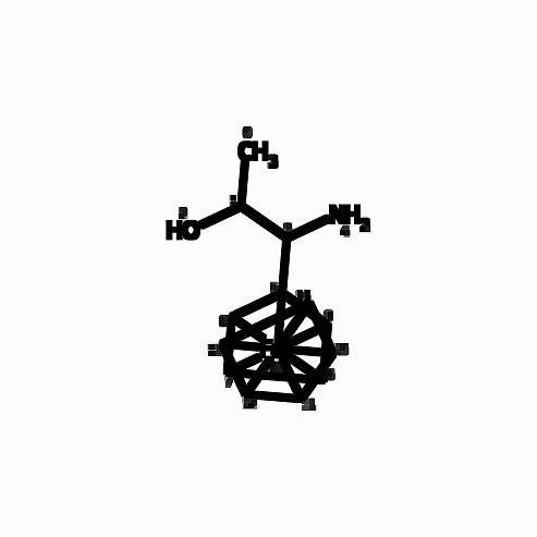 CC(O)C(N)[C]12[CH]3[CH]4[CH]5[CH]1[Fe]45321678[CH]2[CH]1[CH]6[CH]7[CH]28